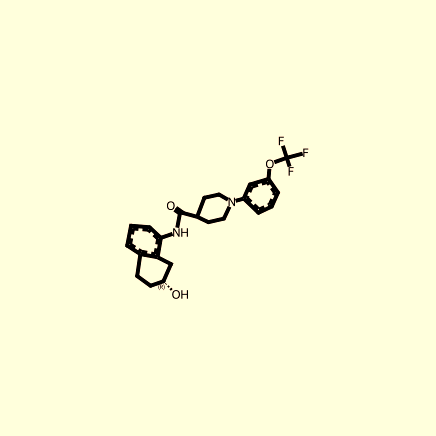 O=C(Nc1cccc2c1C[C@H](O)CC2)C1CCN(c2cccc(OC(F)(F)F)c2)CC1